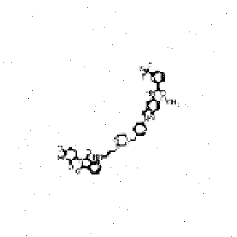 COc1cc2nn([C@H]3CC[C@H](CN4CCO[C@@H](CCCNc5cccc6c5C(=O)N(C5CCC(=O)NC5=O)C6=O)C4)CC3)cc2cc1NC(=O)c1cccc(C(F)(F)F)n1